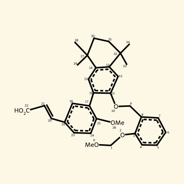 COCOc1ccccc1COc1cc2c(cc1-c1cc(C=CC(=O)O)ccc1OC)C(C)(C)CCC2(C)C